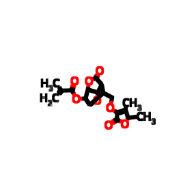 C=C(C)C(=O)OC1C2OC3C1OC(=O)C3C2COC1=C(C)C(C)OC1=O